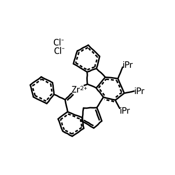 CC(C)c1c(C2=CC=CC2)c2c(c(C(C)C)c1C(C)C)-c1ccccc1[CH]2[Zr+2]=[C](c1ccccc1)c1ccccc1.[Cl-].[Cl-]